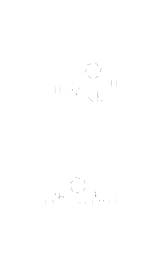 C=CC(C=NO)(C=NO)c1ccccc1O.CCCCCCCCCc1cc(C=NO)c(O)c(C=NO)c1